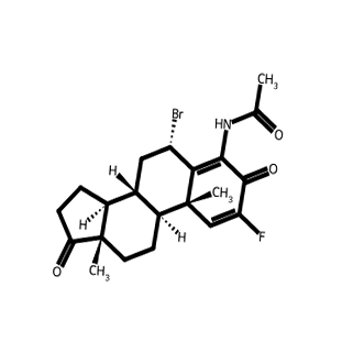 CC(=O)NC1=C2[C@@H](Br)C[C@@H]3[C@H](CC[C@]4(C)C(=O)CC[C@@H]34)[C@@]2(C)C=C(F)C1=O